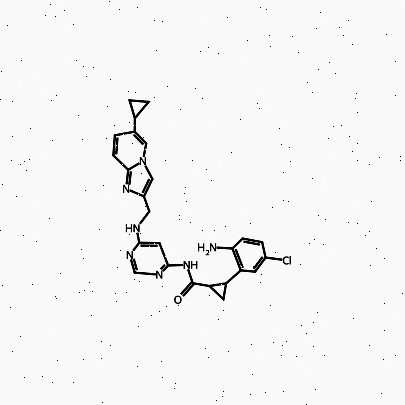 Nc1ccc(Cl)cc1C1CC1C(=O)Nc1cc(NCc2cn3cc(C4CC4)ccc3n2)ncn1